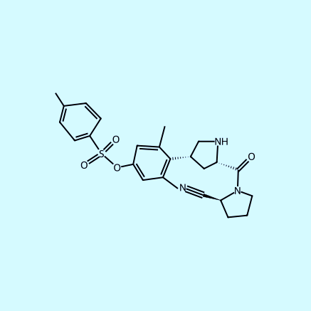 Cc1ccc(S(=O)(=O)Oc2cc(C)c([C@@H]3CN[C@H](C(=O)N4CCC[C@H]4C#N)C3)c(C)c2)cc1